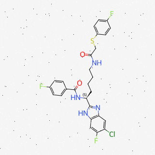 O=C(CSc1ccc(F)cc1)NCCCC[C@H](NC(=O)c1ccc(F)cc1)c1nc2cc(Cl)c(F)cc2[nH]1